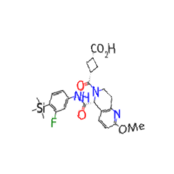 COc1ccc2c(n1)CCN(C(=O)[C@H]1C[C@@H](C(=O)O)C1)[C@H]2C(=O)Nc1ccc([Si](C)(C)C)c(F)c1